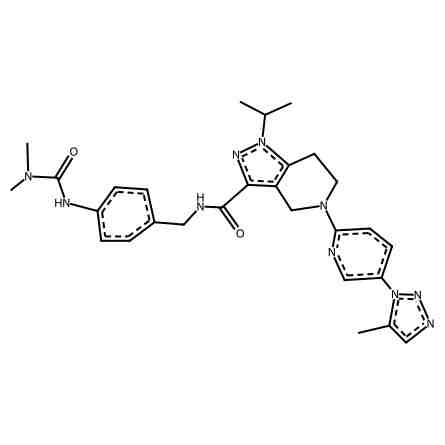 Cc1cnnn1-c1ccc(N2CCc3c(c(C(=O)NCc4ccc(NC(=O)N(C)C)cc4)nn3C(C)C)C2)nc1